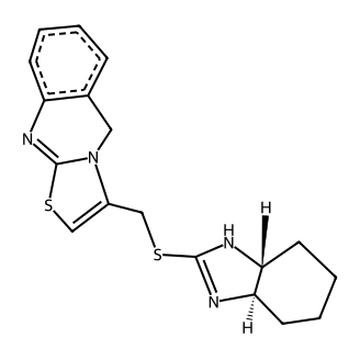 C1=C(CSC2=N[C@@H]3CCCC[C@H]3N2)N2Cc3ccccc3N=C2S1